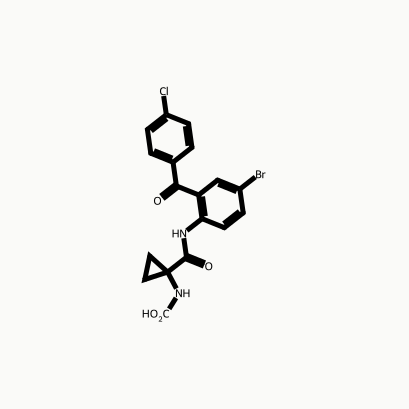 O=C(O)NC1(C(=O)Nc2ccc(Br)cc2C(=O)c2ccc(Cl)cc2)CC1